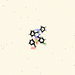 O=S(=O)(c1ccccc1CO)c1cc(Cl)ccc1-c1nc(NC2CCCC2)c2ccccc2n1